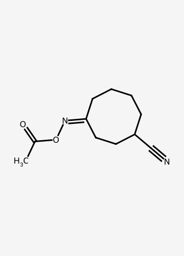 CC(=O)O/N=C1/CCCCC(C#N)CC1